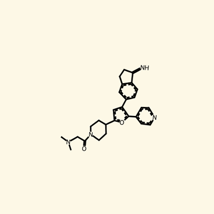 CN(C)CC(=O)N1CCC(c2cc(-c3ccc4c(c3)CCC4=N)c(-c3ccncc3)o2)CC1